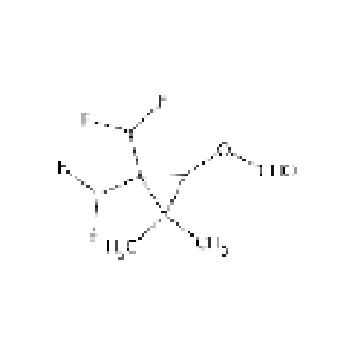 CC1(C)C(OC=O)C1(C(F)F)C(F)F